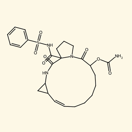 NC(=O)OC1CCCCCC=CC2CC2NC(=O)C2(C(=O)NS(=O)(=O)c3ccccc3)CCCN2C1=O